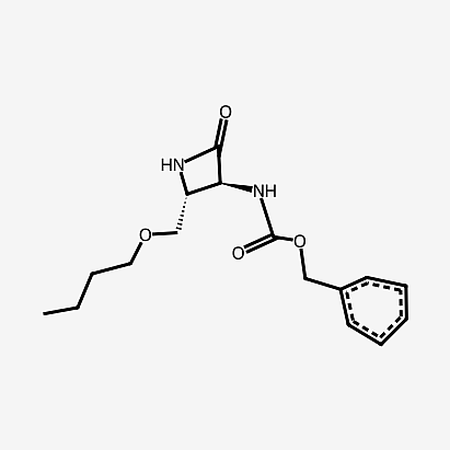 CCCCOC[C@@H]1NC(=O)[C@H]1NC(=O)OCc1ccccc1